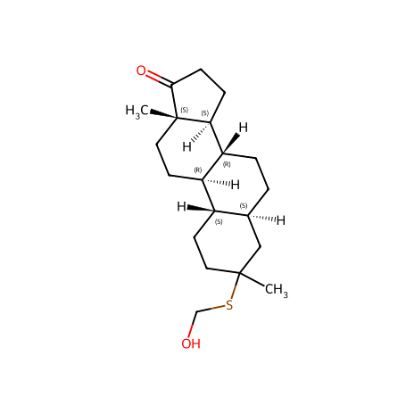 CC1(SCO)CC[C@H]2[C@@H](CC[C@@H]3[C@@H]2CC[C@]2(C)C(=O)CC[C@@H]32)C1